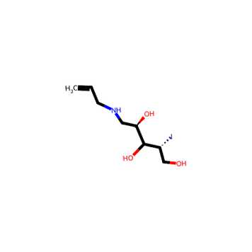 C=CCNC[C@@H](O)C(O)[C@H](I)CO